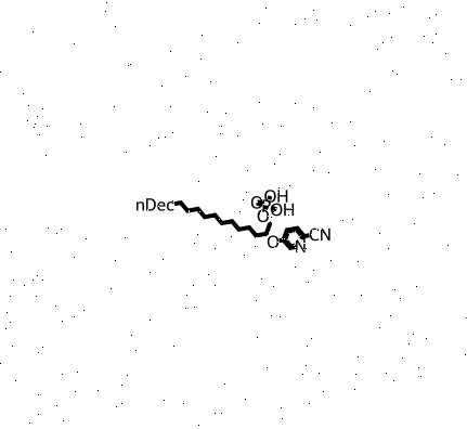 CCCCCCCCCCCCCCCCCCCCC(COP(=O)(O)O)Oc1ccc(C#N)nc1